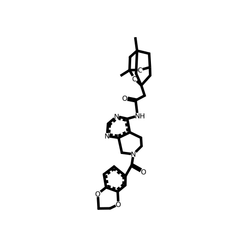 CC12CC3CC(C)(C1)CC(CC(=O)Nc1ncnc4c1CCN(C(=O)c1ccc5c(c1)OCCO5)C4)(C3)C2